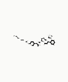 CCOCCOCCOC(=O)Nc1ccc(-c2[nH]c([C@@H]3CCc4nc(-c5cc(Cl)ccc5-n5cnnn5)cc(=O)n43)nc2Cl)cn1